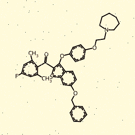 Cc1cc(F)cc(C)c1C(=O)c1sc2cc(OCc3ccccc3)ccc2c1Oc1ccc(OCCN2CCCCCC2)cc1